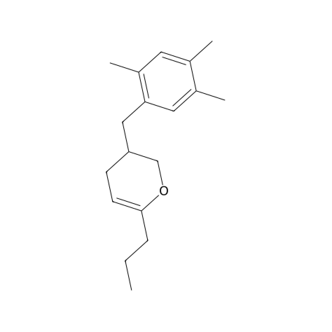 CCCC1=CCC(Cc2cc(C)c(C)cc2C)CO1